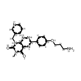 Cn1c(=O)c2nc(-c3ccc(OCCCN)cc3)nnc2n(Cc2cccnc2)c1=O